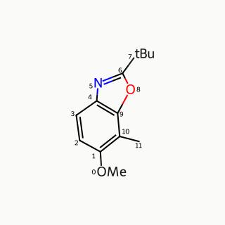 COc1ccc2nc(C(C)(C)C)oc2c1C